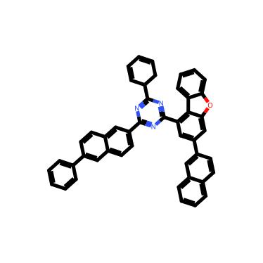 C1=CCC(c2nc(-c3ccc4cc(-c5ccccc5)ccc4c3)nc(-c3cc(-c4ccc5ccccc5c4)cc4oc5ccccc5c34)n2)C=C1